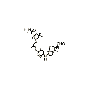 CC(C=C[C@@H]1C[C@]2(CO2)C[C@@H](CC(N)=O)O1)=CC[C@@H]1O[C@H](C)[C@H](NC2CC[C@@H](C(C)C=CC=O)N(C(=O)O)C2)C[C@@H]1C